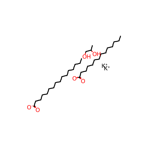 CC(O)CO.CCCCCCCCCCCCCC(=O)[O-].CCCCCCCCCCCCCCCC(=O)[O-].[K+].[K+]